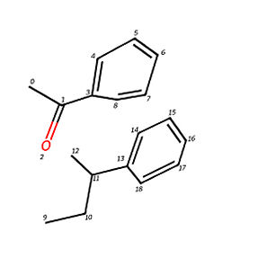 CC(=O)c1ccccc1.CCC(C)c1ccccc1